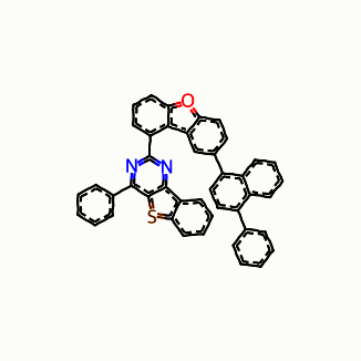 c1ccc(-c2ccc(-c3ccc4oc5cccc(-c6nc(-c7ccccc7)c7sc8ccccc8c7n6)c5c4c3)c3ccccc23)cc1